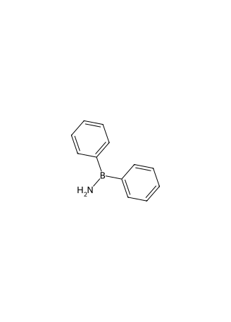 NB(c1ccccc1)c1ccccc1